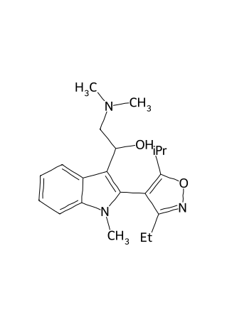 CCc1noc(C(C)C)c1-c1c(C(O)CN(C)C)c2ccccc2n1C